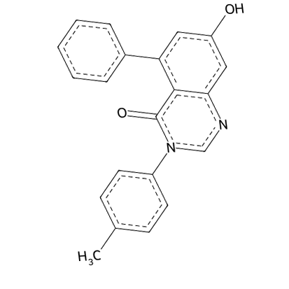 Cc1ccc(-n2cnc3cc(O)cc(-c4ccccc4)c3c2=O)cc1